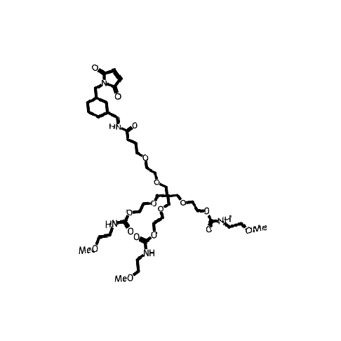 COCCNC(=O)OCCOCC(COCCOCCCC(=O)NCC1CCCC(CN2C(=O)C=CC2=O)C1)(COCCOC(=O)NCCOC)COCCOC(=O)NCCOC